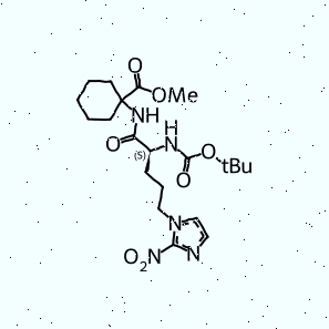 COC(=O)C1(NC(=O)[C@H](CCCn2ccnc2[N+](=O)[O-])NC(=O)OC(C)(C)C)CCCCC1